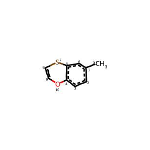 Cc1ccc2c(c1)SC=CO2